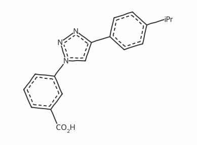 CC(C)c1ccc(-c2cn(-c3cccc(C(=O)O)c3)nn2)cc1